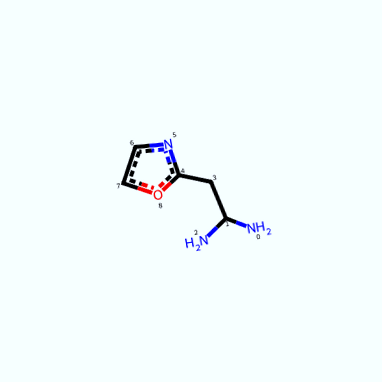 NC(N)Cc1ncco1